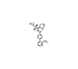 CCS(=O)(=O)N[C@H]1CCOC[C@@H]1COc1ccc(-c2cccnc2C)cc1